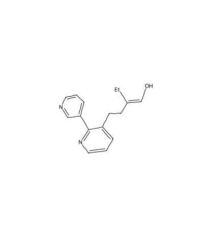 CC/C(=C\O)CCc1cccnc1-c1cccnc1